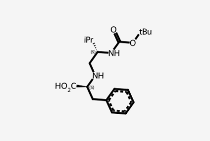 CC(C)[C@@H](CN[C@@H](Cc1ccccc1)C(=O)O)NC(=O)OC(C)(C)C